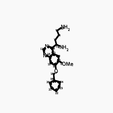 COc1cc2c(C(N)CCCN)ncnc2cc1OCc1ccccc1